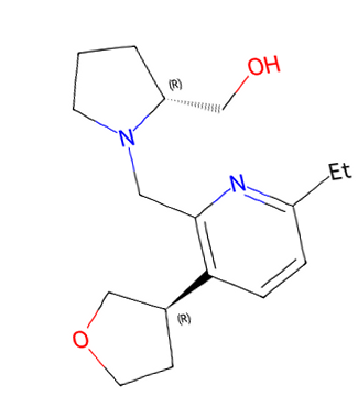 CCc1ccc([C@H]2CCOC2)c(CN2CCC[C@@H]2CO)n1